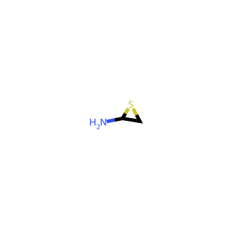 NC1CS1